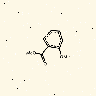 COC(=O)c1ccccc1OC